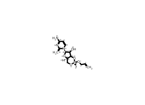 C=CCOP1(=S)OC[C@H]2O[C@@H](N3C=CC(N)=NC3=C)C(O)C2O1